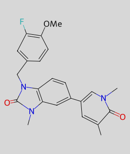 COc1ccc(Cn2c(=O)n(C)c3cc(-c4cc(C)c(=O)n(C)c4)ccc32)cc1F